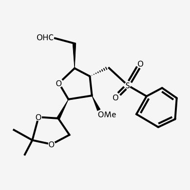 CO[C@@H]1[C@@H](CS(=O)(=O)c2ccccc2)[C@H](CC=O)O[C@@H]1C1COC(C)(C)O1